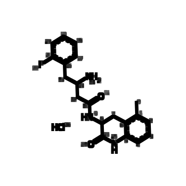 Cc1cccc2c1CC(NC(=O)CC(N)Cc1ccccc1F)C(=O)N2.Cl